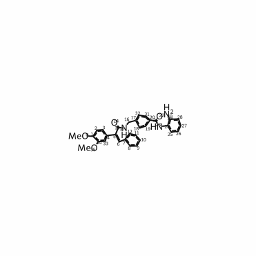 COc1ccc(C(=Cc2ccccc2)C(=O)NCc2ccc(C(=O)Nc3ccccc3N)cc2)cc1OC